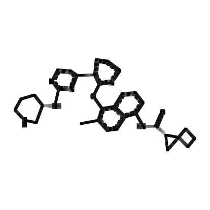 Cc1ccc2c(NC(=O)[C@H]3CC34CCC4)cccc2c1Oc1ncccc1-c1ccnc(N[C@H]2CCCNC2)n1